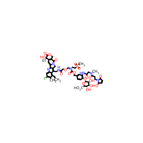 C=Cc1c(C)c(F)cc2nc3c(c(CNC(=O)COCN(CCS(C)(=O)=O)C(=O)OCc4ccc(O[C@@H]5O[C@H](C(=O)O)[C@@H](O)[C@H](O)[C@H]5O)c(NC(=O)CN(C)C(=O)CCN5C(=O)C=CC5=O)c4)c12)Cn1c-3cc2c(c1=O)COC(=O)[C@]2(O)CC